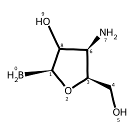 B[C@@H]1O[C@H](CO)[C@H](N)C1O